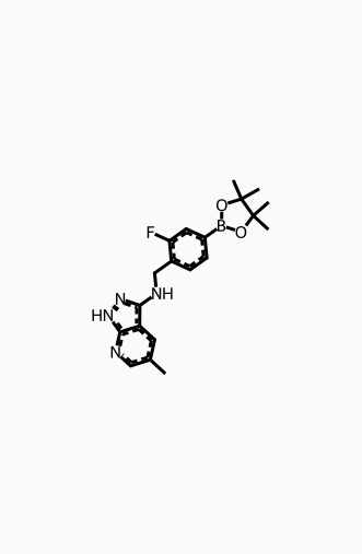 Cc1cnc2[nH]nc(NCc3ccc(B4OC(C)(C)C(C)(C)O4)cc3F)c2c1